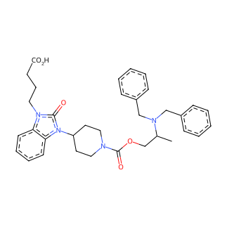 CC(COC(=O)N1CCC(n2c(=O)n(CCCC(=O)O)c3ccccc32)CC1)N(Cc1ccccc1)Cc1ccccc1